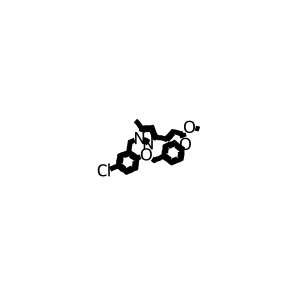 COC(=O)C=Cc1cc(C)n(Cc2cc(Cl)ccc2OCc2ccccc2)n1